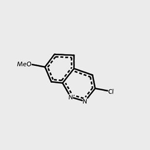 COc1ccc2cc(Cl)nnc2c1